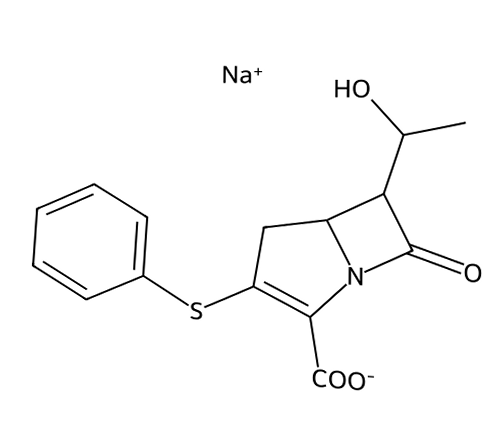 CC(O)C1C(=O)N2C(C(=O)[O-])=C(Sc3ccccc3)CC12.[Na+]